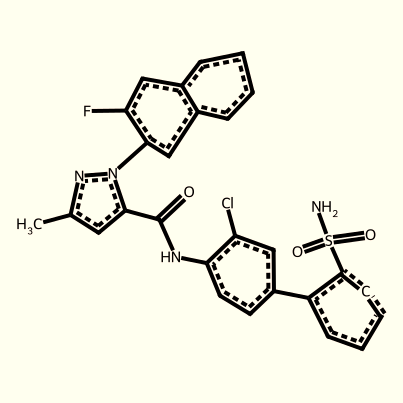 Cc1cc(C(=O)Nc2ccc(-c3ccccc3S(N)(=O)=O)cc2Cl)n(-c2cc3ccccc3cc2F)n1